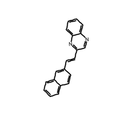 C(=Cc1cnc2ccccc2n1)c1ccc2ccccc2c1